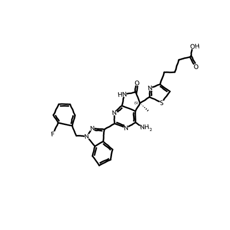 C[C@@]1(c2nc(CCCC(=O)O)cs2)C(=O)Nc2nc(-c3nn(Cc4ccccc4F)c4ccccc34)nc(N)c21